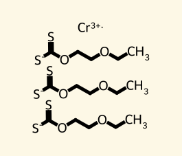 CCOCCOC(=S)[S-].CCOCCOC(=S)[S-].CCOCCOC(=S)[S-].[Cr+3]